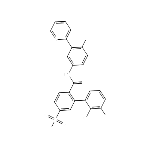 CS(=O)(=O)c1ccc(C(=O)Nc2ccc(Cl)c(-c3ccccn3)c2)c(-c2cccc(Cl)c2Cl)c1